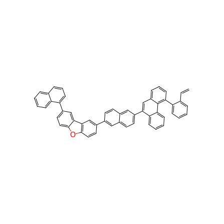 C=Cc1ccccc1-c1cccc2cc(-c3ccc4cc(-c5ccc6oc7ccc(-c8cccc9ccccc89)cc7c6c5)ccc4c3)c3ccccc3c12